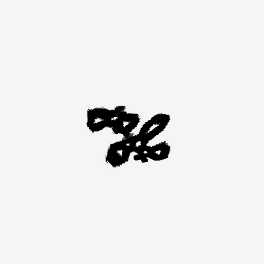 CC1(C)c2ccccc2-c2c1c1c3ccccc3n(-c3ccc4sc5ccccc5c4c3)c1c1ccccc21